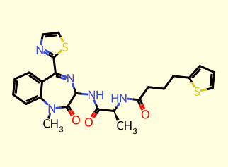 C[C@H](NC(=O)CCCc1cccs1)C(=O)NC1N=C(c2nccs2)c2ccccc2N(C)C1=O